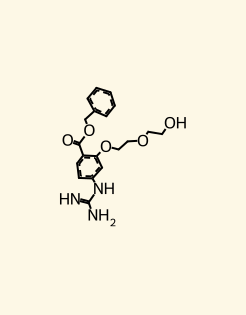 N=C(N)Nc1ccc(C(=O)OCc2ccccc2)c(OCCOCCO)c1